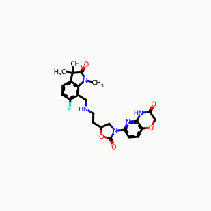 CN1C(=O)C(C)(C)c2ccc(F)c(CNCCC3CN(c4ccc5c(n4)NC(=O)CO5)C(=O)O3)c21